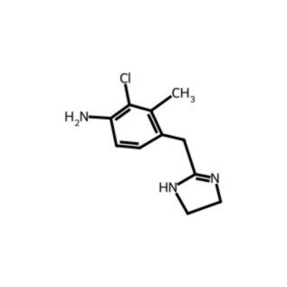 Cc1c(CC2=NCCN2)ccc(N)c1Cl